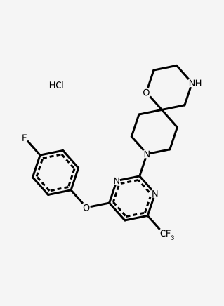 Cl.Fc1ccc(Oc2cc(C(F)(F)F)nc(N3CCC4(CC3)CNCCO4)n2)cc1